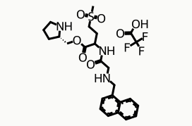 CS(=O)(=O)CCC(NC(=O)CNCc1cccc2ccccc12)C(=O)OC[C@@H]1CCCN1.O=C(O)C(F)(F)F